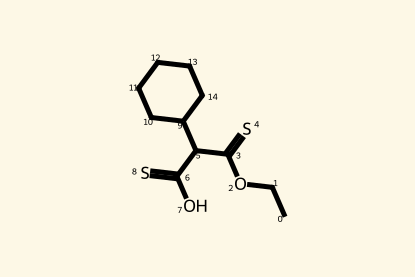 CCOC(=S)C(C(O)=S)C1CCCCC1